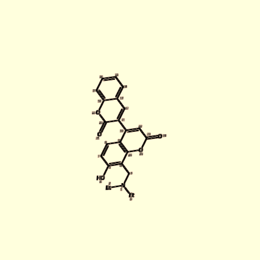 CCN(CC)Cc1c(O)ccc2c(-c3cc4ccccc4oc3=O)cc(=O)oc12